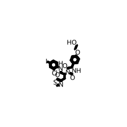 O=C(Nc1ccc(I)cc1Cl)C(Cc1cscn1)N1C(=O)NC(c2ccc(OCCO)cc2)C1=O